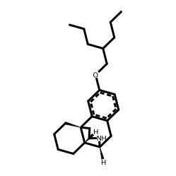 CCCC(CCC)COc1ccc2c(c1)[C@@]13CCCC[C@H]1[C@@H](C2)NCC3